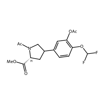 COC(=O)[C@H]1CC(c2ccc(OC(F)F)c(OC(C)=O)c2)CN1C(C)=O